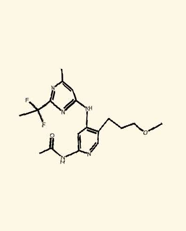 COCCCc1cnc(NC(C)=O)cc1Nc1cc(C)nc(C(C)(F)F)n1